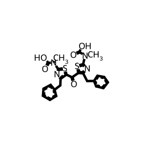 CN(C(=O)O)c1nc(Cc2ccccc2)c(C(=O)c2sc(N(C)C(=O)O)nc2Cc2ccccc2)s1